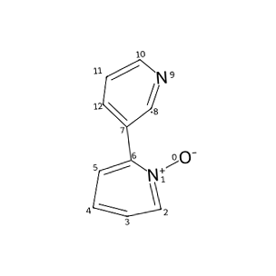 [O-][n+]1ccccc1-c1[c]nccc1